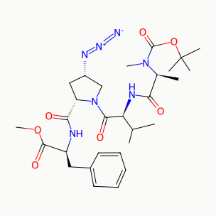 COC(=O)[C@H](Cc1ccccc1)NC(=O)[C@@H]1C[C@H](N=[N+]=[N-])CN1C(=O)[C@@H](NC(=O)[C@H](C)N(C)C(=O)OC(C)(C)C)C(C)C